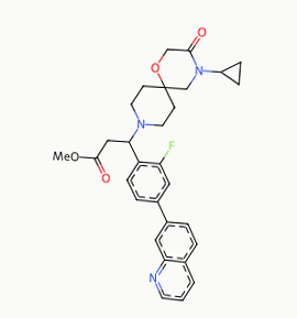 COC(=O)CC(c1ccc(-c2ccc3cccnc3c2)cc1F)N1CCC2(CC1)CN(C1CC1)C(=O)CO2